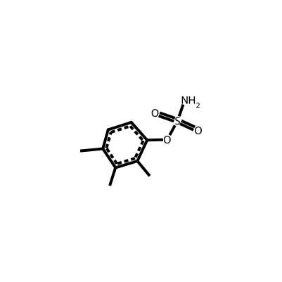 Cc1ccc(OS(N)(=O)=O)c(C)c1C